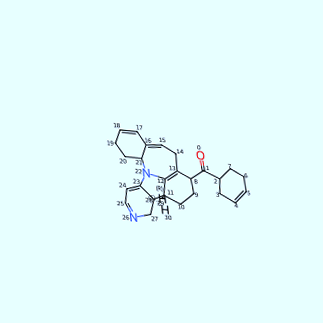 O=C(C1CC=CCC1)C1CC[C@H]2C3=C1CC=C1C=CCCC1N3C1=CC=NC[C@@H]12